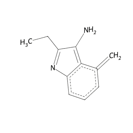 C=c1cccc2c1=C(N)C(CC)=N2